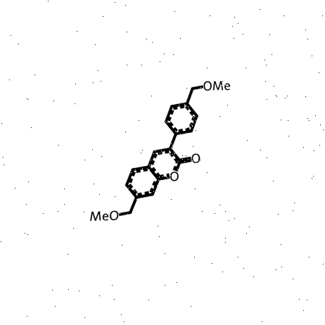 COCc1ccc(-c2cc3ccc(COC)cc3oc2=O)cc1